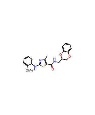 COc1ccccc1Nc1nc(C)c(C(=O)NCC2COc3ccccc3O2)s1